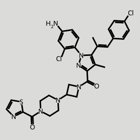 C/C(=C\c1ccc(Cl)cc1)c1c(C)c(C(=O)N2CC(N3CCN(C(=O)c4nccs4)CC3)C2)nn1-c1ccc(N)cc1Cl